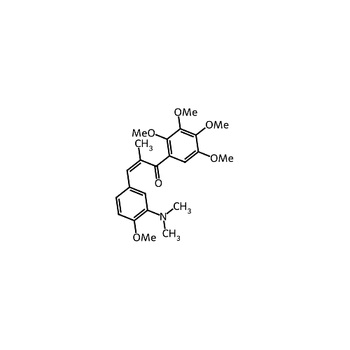 COc1ccc(C=C(C)C(=O)c2cc(OC)c(OC)c(OC)c2OC)cc1N(C)C